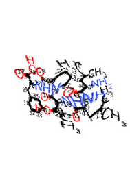 CC(C)C[C@H](NC(=O)[C@@H](N)CC(C)C)C(=O)N[C@H](C(=O)N1CCC[C@H]1C(=O)N[C@@H](Cc1ccccc1)C(=O)O)[C@@H](C)O